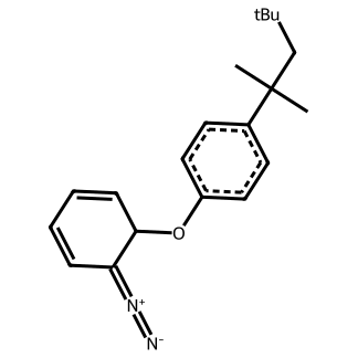 CC(C)(C)CC(C)(C)c1ccc(OC2C=CC=CC2=[N+]=[N-])cc1